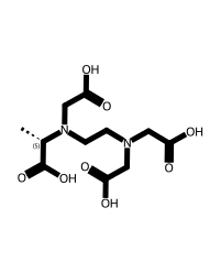 C[C@@H](C(=O)O)N(CCN(CC(=O)O)CC(=O)O)CC(=O)O